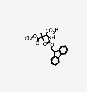 CC(C)(C)OC(=O)C(C)(C)[C@H](NC(=O)OCC1c2ccccc2-c2ccccc21)C(=O)O